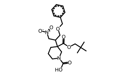 CC(C)(C)COC(=O)C1(C(COCc2ccccc2)C[N+](=O)[O-])CCCN(C(=O)O)C1